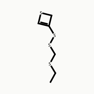 CCSCSSC1=CSC1